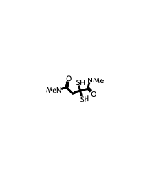 CNC(=O)CC(S)(S)C(=O)NC